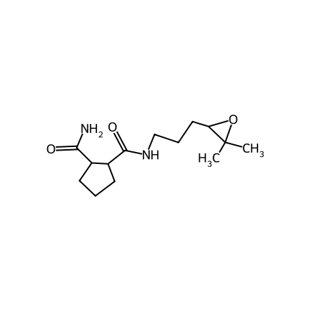 CC1(C)OC1CCCNC(=O)C1CCCC1C(N)=O